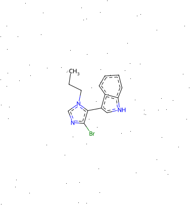 CCCn1cnc(Br)c1-c1c[nH]c2ccccc12